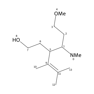 CNC(CCOC)C(CCO)C(C)=C(C)C